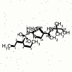 C=C/C=C(\C=C/C)S(=O)(=O)NC(=C)/N=C\C(=C/C)C(=C)NC(C)(C)CO